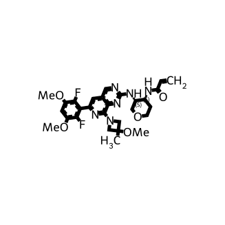 C=CC(=O)N[C@H]1CCOC[C@H]1Nc1ncc2cc(-c3c(F)c(OC)cc(OC)c3F)nc(N3CC(C)(OC)C3)c2n1